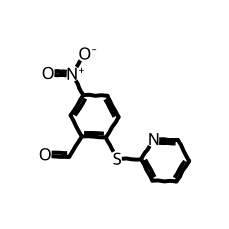 O=Cc1cc([N+](=O)[O-])ccc1Sc1ccccn1